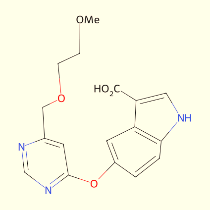 COCCOCc1cc(Oc2ccc3[nH]cc(C(=O)O)c3c2)ncn1